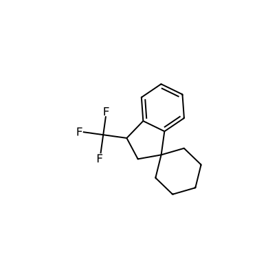 FC(F)(F)C1CC2(CCCCC2)c2ccccc21